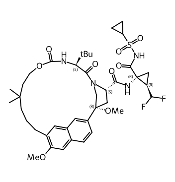 COc1cc2ccc3cc2cc1CCCC(C)(C)CCOC(=O)N[C@@H](C(C)(C)C)C(=O)N1C[C@@]3(OC)C[C@H]1C(=O)N[C@]1(C(=O)NS(=O)(=O)C2CC2)C[C@H]1C(F)F